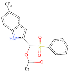 CCC(=O)OC(c1cc2cc(C(F)(F)F)ccc2[nH]1)S(=O)(=O)c1ccccc1